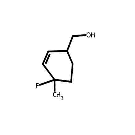 CC1(F)C=CC(CO)CC1